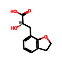 O=C(O)[C@@H](O)Cc1cccc2c1OCC2